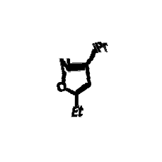 CCc1cc(C(C)C)no1